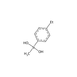 CCc1ccc([Si](C)(O)O)cc1